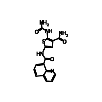 NC(=O)Nc1sc(NC(=O)c2cccc3cccnc23)cc1C(N)=O